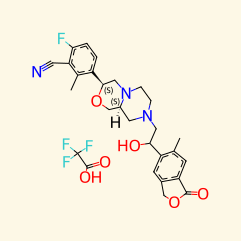 Cc1cc2c(cc1C(O)CN1CCN3C[C@H](c4ccc(F)c(C#N)c4C)OC[C@@H]3C1)COC2=O.O=C(O)C(F)(F)F